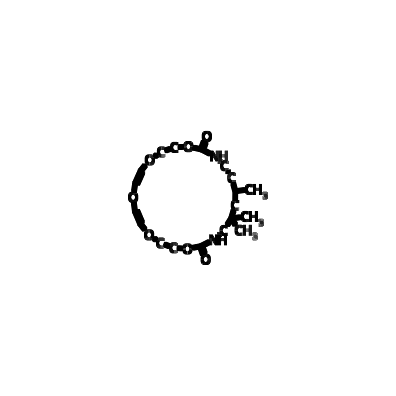 CC1CCNC(=O)OCCOC=COC=COCCOC(=O)NCC(C)(C)C1